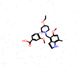 CCO[C@@H]1CCN(Cc2c(OC)cc(C)c3[nH]ccc23)[C@H](c2ccc(C(=O)O)cc2OC)C1